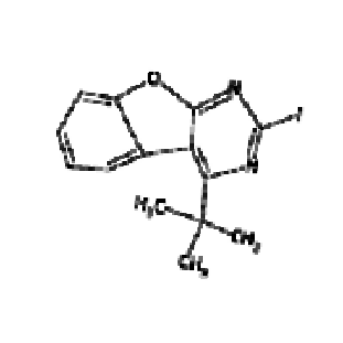 CC(C)(C)c1nc(I)nc2oc3ccccc3c12